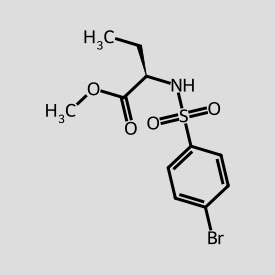 CC[C@@H](NS(=O)(=O)c1ccc(Br)cc1)C(=O)OC